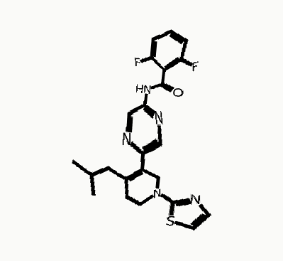 CC(C)CC1=C(c2cnc(NC(=O)c3c(F)cccc3F)cn2)CN(c2nccs2)CC1